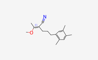 CO/C(C)=C(/C#N)CCCc1cc(C)c(C)cc1C